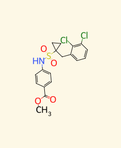 COC(=O)c1ccc(NS(=O)(=O)C2(Cc3cccc(Cl)c3Cl)CC2)cc1